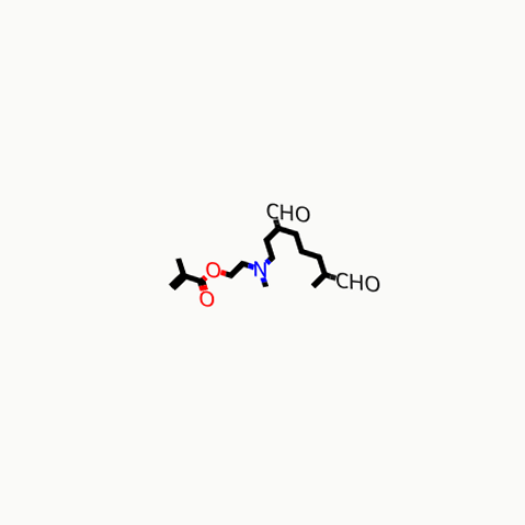 C=C(C)C(=O)OCCN(C)CCC(C=O)CCCC(C)C=O